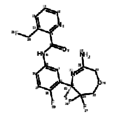 C[C@]1(c2cc(NC(=O)c3ncccc3CF)ccc2F)N=C(N)COCC1(F)F